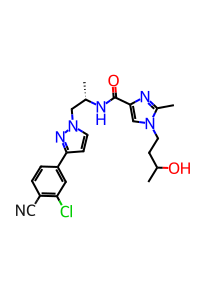 Cc1nc(C(=O)N[C@@H](C)Cn2ccc(-c3ccc(C#N)c(Cl)c3)n2)cn1CCC(C)O